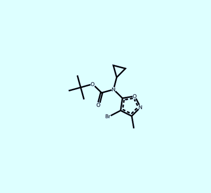 Cc1noc(N(C(=O)OC(C)(C)C)C2CC2)c1Br